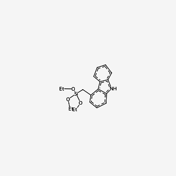 CCO[Si](Cc1cccc2[nH]c3ccccc3c12)(OCC)OCC